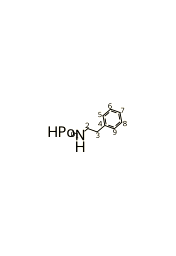 [PoH][NH]CCc1ccccc1